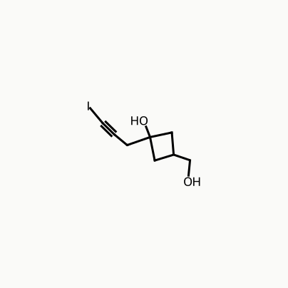 OCC1CC(O)(CC#CI)C1